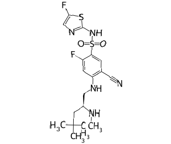 CN[C@H](CNc1cc(F)c(S(=O)(=O)Nc2ncc(F)s2)cc1C#N)CC(C)(C)C